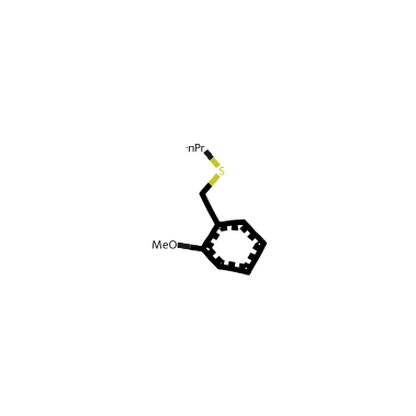 CC[CH]SCc1ccccc1OC